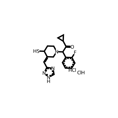 Cl.Cl.O=C(C1CC1)C(c1ccccc1F)N1CCC(S)C(=Cc2nc[nH]n2)C1